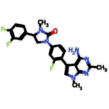 Cc1nc(N)c2c(-c3ccc(N4CC(c5ccc(F)c(F)c5)N(C)C4=O)cc3F)cn(C)c2n1